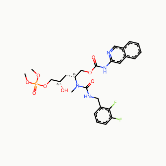 COP(=O)(OC)OC[C@@H](O)C[C@H](COC(=O)Nc1cc2ccccc2cn1)N(C)C(=O)NCc1cccc(F)c1F